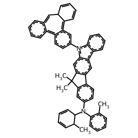 Cc1ccccc1N(c1ccc2c(c1)C(C)(C)c1cc3c(cc1-2)c1ccccc1n3-c1ccc2c(c1)=C1C=CC=CC1C=c1ccccc1=2)C1C=CC=CC1C